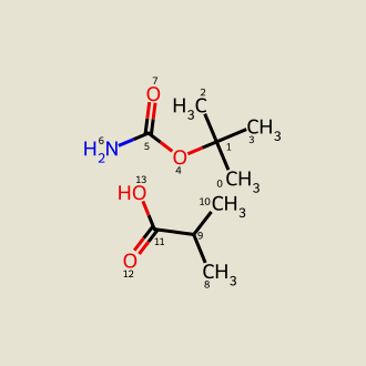 CC(C)(C)OC(N)=O.CC(C)C(=O)O